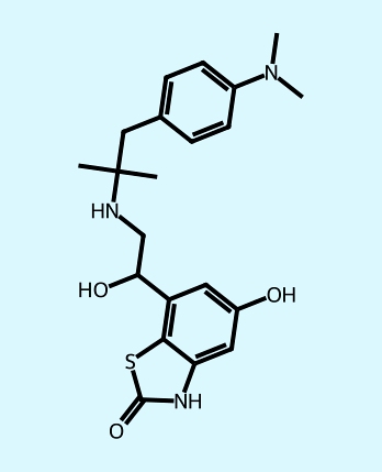 CN(C)c1ccc(CC(C)(C)NCC(O)c2cc(O)cc3[nH]c(=O)sc23)cc1